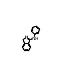 c1ccc(NC2=NCc3ccccc32)cc1